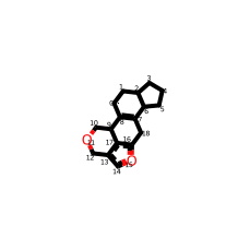 [CH]1CC2CCCC2C2=C1C1COCc3coc(c31)C2